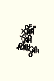 C=NC[C@H](C[C@@H]1CCC2(CC2)NC1=O)NC(=O)[C@H](CC(C)(C)C)NC(=O)C[C@@H](NC(=O)C(F)(F)F)C(C)(C)C